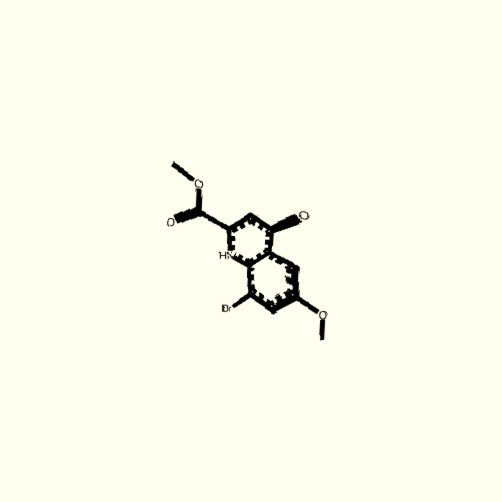 COC(=O)c1cc(=O)c2cc(OC)cc(Br)c2[nH]1